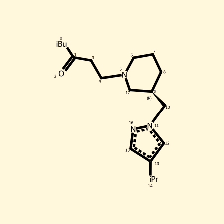 CCC(C)C(=O)CCN1CCC[C@@H](Cn2cc(C(C)C)cn2)C1